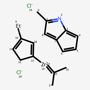 CC1=NC2=CC=CC2=C1.CCC1=CC[C]([Zr+2]=[C](C)C)=C1.[Cl-].[Cl-]